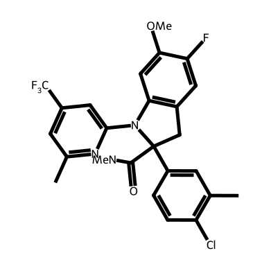 CNC(=O)C1(c2ccc(Cl)c(C)c2)Cc2cc(F)c(OC)cc2N1c1cc(C(F)(F)F)cc(C)n1